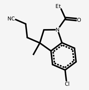 CCC(=O)N1CC(C)(CCC#N)c2cc(Cl)ccc21